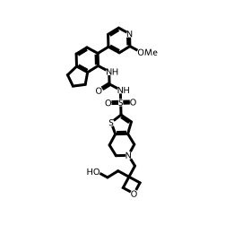 COc1cc(-c2ccc3c(c2NC(=O)NS(=O)(=O)c2cc4c(s2)CCN(CC2(CCO)COC2)C4)CCC3)ccn1